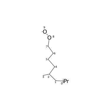 CC(C)CC(C)CCCCO[O]